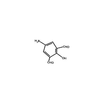 Bc1cc(C=O)c(O)c(C=O)c1